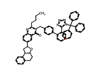 CCCCc1nc2ccc(C3CC4c5ccccc5CCN4O3)cc2c(=O)n1Cc1ccc(-c2ccccc2-c2nnnn2C(c2ccccc2)(c2ccccc2)c2ccccc2)cc1